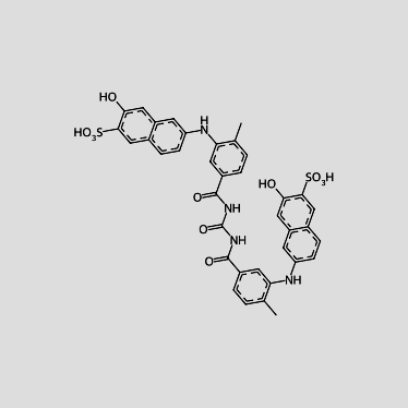 Cc1ccc(C(=O)NC(=O)NC(=O)c2ccc(C)c(Nc3ccc4cc(S(=O)(=O)O)c(O)cc4c3)c2)cc1Nc1ccc2cc(S(=O)(=O)O)c(O)cc2c1